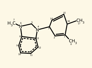 CC1=CC(N2CN(C)c3ccccc32)C=CC1C